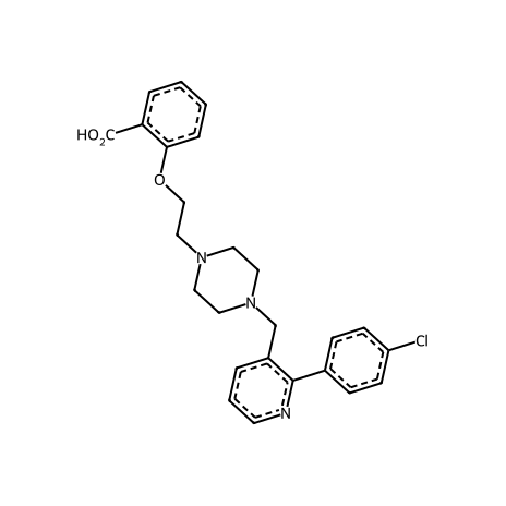 O=C(O)c1ccccc1OCCN1CCN(Cc2cccnc2-c2ccc(Cl)cc2)CC1